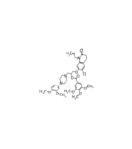 C=CCN1C(=O)CCc2cc(Cl)c(OCC(CN3CCN(c4ccc(OC)c(OC)c4)CC3)OC(=O)c3cc(OC)c(OC)c(OC)c3)cc21